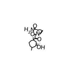 CC1CCCC(C)(C(=O)C(=O)N2C=CCC2C(N)=O)C[C@@](C)(O)C1